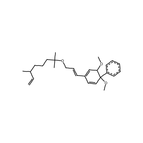 C=CC(C)CCCC(C)(C)OCC=CC1=CC(OC)C(OC)(c2ccccc2)C=C1